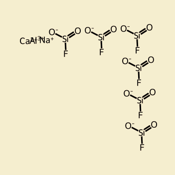 O=[Si]([O-])F.O=[Si]([O-])F.O=[Si]([O-])F.O=[Si]([O-])F.O=[Si]([O-])F.O=[Si]([O-])F.[Al+3].[Ca+2].[Na+]